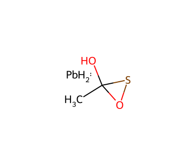 CC1(O)OS1.[PbH2]